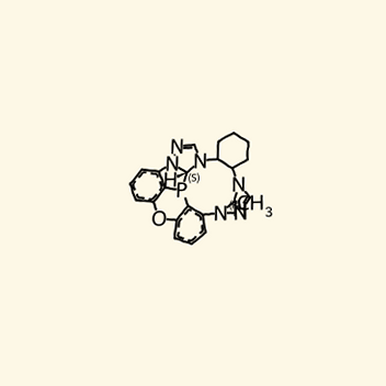 C[C@H]1N2N=CN1C1CCCCC1N1C=NN3c4cccc5c4P(c4c(cccc42)O5)[C@H]31